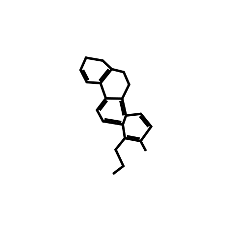 CCCc1c(C)ccc2c3c(ccc12)C1=C(CCC=C1)CC3